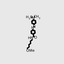 COCCCCCCNC(=O)c1ccc(/N=N/c2ccc(N(C)C)cc2)cc1